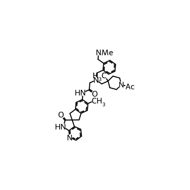 CNCc1ccccc1CN(CC(=O)Nc1cc2c(cc1C)CC1(C2)C(=O)Nc2ncccc21)CC1(C)CCN(C(C)=O)CC1